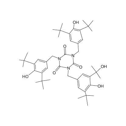 CC(C)(C)c1cc(Cn2c(=O)n(Cc3cc(C(C)(C)C)c(O)c(C(C)(C)C)c3)c(=O)n(Cc3cc(C(C)(C)C)c(O)c(C(C)(C)O)c3)c2=O)cc(C(C)(C)C)c1O